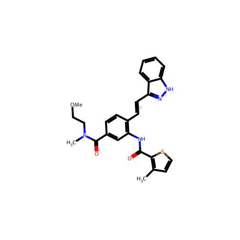 COCCN(C)C(=O)c1ccc(/C=C/c2n[nH]c3ccccc23)c(NC(=O)c2sccc2C)c1